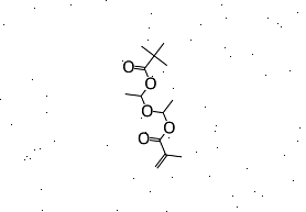 C=C(C)C(=O)OC(C)OC(C)OC(=O)C(C)(C)C